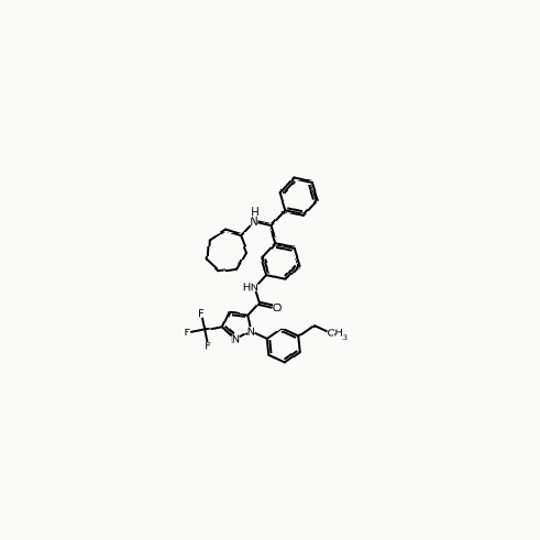 CCc1cccc(-n2nc(C(F)(F)F)cc2C(=O)Nc2cccc(C(NC3CCCCCC3)c3ccccc3)c2)c1